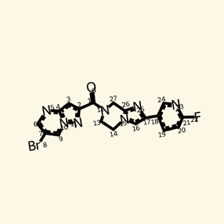 O=C(c1cc2ncc(Br)cn2n1)N1CCn2cc(-c3ccc(F)nc3)nc2C1